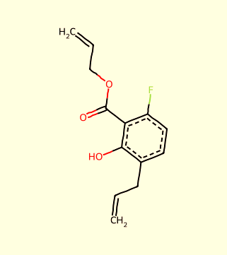 C=CCOC(=O)c1c(F)ccc(CC=C)c1O